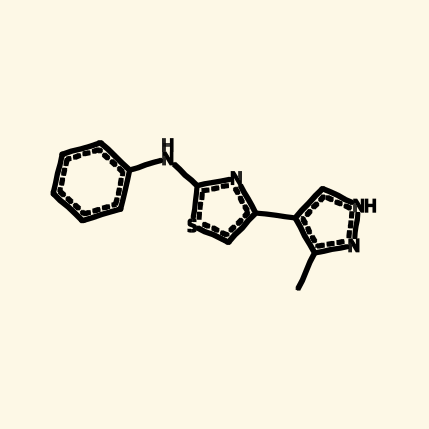 Cc1n[nH]cc1-c1csc(Nc2ccccc2)n1